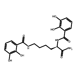 NC(=O)[C@@H](CCCCNC(=O)c1cccc(O)c1O)NC(=O)c1cccc(O)c1O